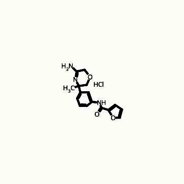 CC1(c2cccc(NC(=O)c3ccco3)c2)COCC(N)=N1.Cl